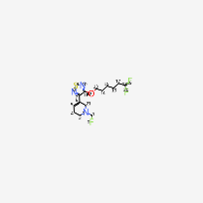 FCN1CCC=C(c2nsnc2OCCCCCC(F)F)C1